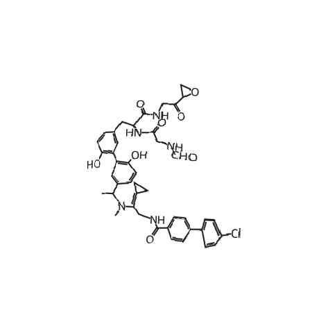 CC(c1ccc(O)c(-c2cc(CC(NC(=O)CNC=O)C(=O)NCC(=O)C3CO3)ccc2O)c1)N(C)C(CNC(=O)c1ccc(-c2ccc(Cl)cc2)cc1)=C1CC1